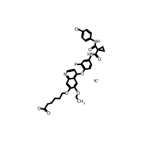 CCOc1cc2c(Oc3ccc(NC(=O)C4(C(=O)Nc5ccc(Cl)cc5)CC4)cc3F)ccnc2cc1OCCCCCC(=O)[O-].[K+]